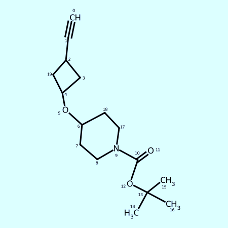 C#CC1CC(OC2CCN(C(=O)OC(C)(C)C)CC2)C1